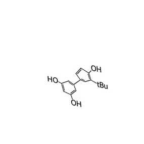 CC(C)(C)c1cc(-c2cc(O)cc(O)c2)ccc1O